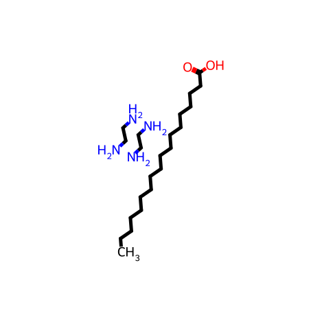 CCCCCCCCCCCCCCCCCC(=O)O.NCCN.NCCN